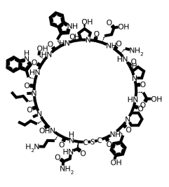 CCCC[C@H]1C(=O)N(C)[C@@H](CCCC)C(=O)N[C@@H](CCCN)C(=O)N[C@H](C(=O)NCC(N)=O)CSCC(=O)N[C@@H](Cc2ccc(O)cc2)C(=O)N2CCCCC2C(=O)N[C@@H](CC(=O)O)C(=O)N2CCC[C@H]2C(=O)N[C@@H](CN)C(=O)N[C@@H](CCC(=O)O)C(=O)N2C[C@H](O)C[C@H]2C(=O)N[C@@H](Cc2c[nH]c3ccccc23)C(=O)N[C@@H](CO)C(=O)N[C@@H](Cc2c[nH]c3ccccc23)C(=O)N1C